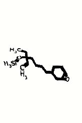 CCC(CC)(CCCCC1CCC2OC2C1)O[SiH3]